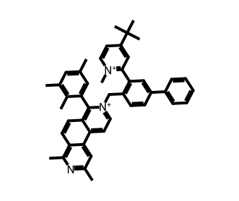 Cc1cc(C)c(C)c(-c2c3ccc4c(C)nc(C)cc4c3cc[n+]2Cc2ccc(-c3ccccc3)cc2-c2cc(C(C)(C)C)cc[n+]2C)c1